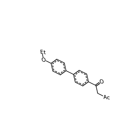 CCOc1ccc(-c2ccc(C(=O)CC(C)=O)cc2)cc1